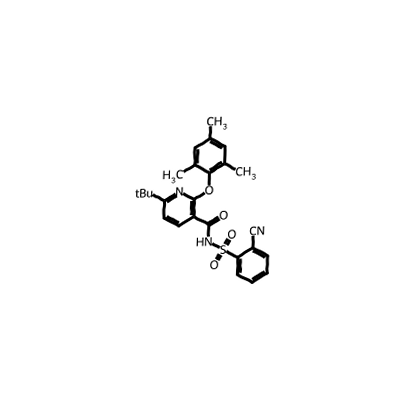 Cc1cc(C)c(Oc2nc(C(C)(C)C)ccc2C(=O)NS(=O)(=O)c2ccccc2C#N)c(C)c1